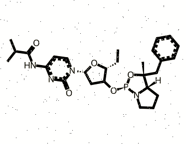 CC[C@H]1O[C@@H](n2ccc(NC(=O)C(C)C)nc2=O)CC1O[P@@]1O[C@](C)(Cc2ccccc2)[C@@H]2CCCN21